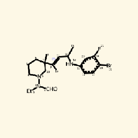 CCN(C=O)N1CCCC(C)(/C(C)=C/C(C)Nc2ccc(Br)c(F)c2)C1